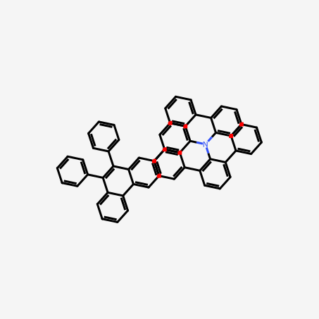 c1ccc(-c2ccccc2N(c2cccc(-c3ccc4c(c3)c(-c3ccccc3)c(-c3ccccc3)c3ccccc34)c2)c2c(-c3ccccc3)cccc2-c2ccccc2)cc1